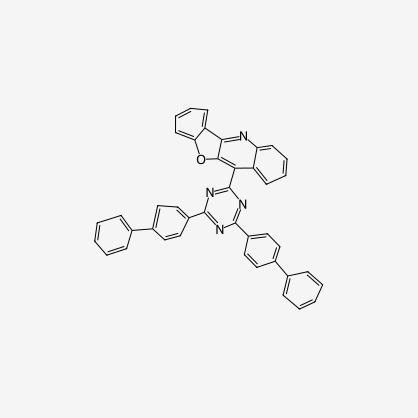 c1ccc(-c2ccc(-c3nc(-c4ccc(-c5ccccc5)cc4)nc(-c4c5ccccc5nc5c4oc4ccccc45)n3)cc2)cc1